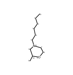 CCCCCCN1CCOC(C)C1